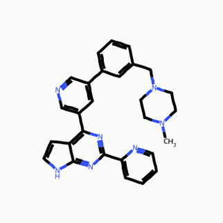 CN1CCN(Cc2cccc(-c3cncc(-c4nc(-c5ccccn5)nc5[nH]ccc45)c3)c2)CC1